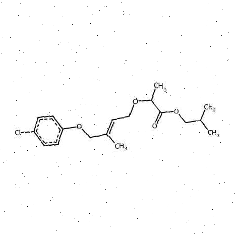 CC(=CCOC(C)C(=O)OCC(C)C)COc1ccc(Cl)cc1